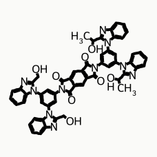 CC(O)c1nc2ccccc2n1-c1cc(-n2c(=O)c3cc4c(=O)n(-c5cc(-n6c(CO)nc7ccccc76)cc(-n6c(CO)nc7ccccc76)c5)c(=O)c4cc3c2=O)cc(-n2c(C(C)O)nc3ccccc32)c1